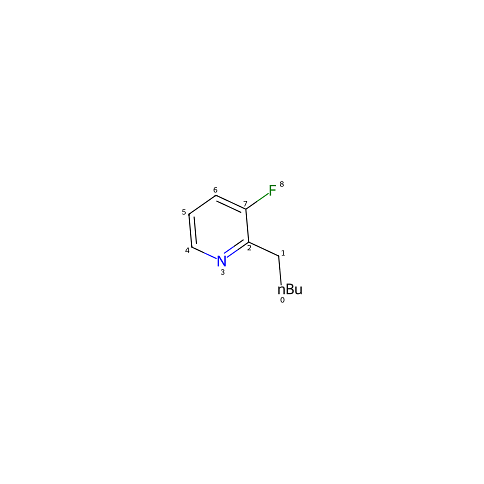 CCCCCc1ncccc1F